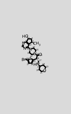 C[C@@H]1C[C@@H](O)c2ncnc(N3CCN(C(=O)[C@H](CNC4CCOCC4)c4ccc(Br)s4)CC3)c21